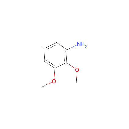 COc1c[c]cc(N)c1OC